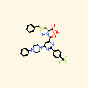 O=C(N[C@@H](CSCc1ccccc1)C(=O)O)c1cc(N2CCN(c3ccccc3)CC2)nc(-c2ccc(C(F)(F)F)cc2)n1